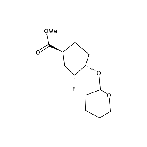 COC(=O)[C@H]1CC[C@H](OC2CCCCO2)[C@H](F)C1